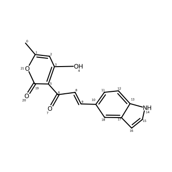 Cc1cc(O)c(C(=O)/C=C/c2ccc3[nH]ccc3c2)c(=O)o1